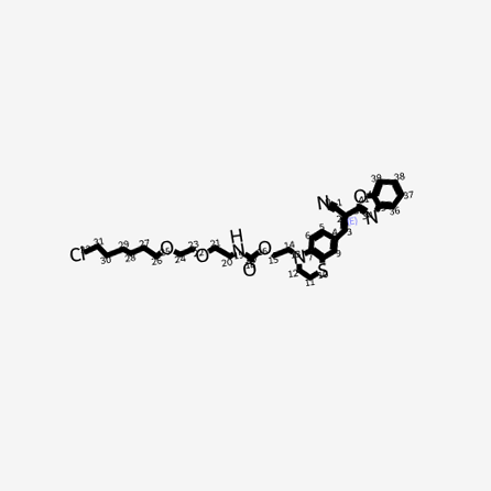 N#C/C(=C\c1ccc2c(c1)SCCN2CCOC(=O)NCCOCCOCCCCCCCl)c1nc2ccccc2o1